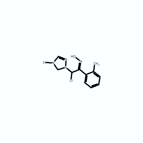 Cc1ccccc1C(=NO)C(Cl)N1CN(Cl)C=N1